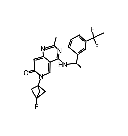 Cc1nc(N[C@H](C)c2cccc(C(C)(F)F)c2)c2cn(C34CC(F)(C3)C4)c(=O)cc2n1